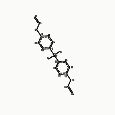 C=CCc1ccc([Si](C)(C)c2ccc(CC=C)cc2)cc1